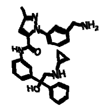 Cc1cc(C(=O)Nc2cccc(C(O)(CNC3CC3)c3ccccc3)c2)n(-c2cccc(CN)c2)n1